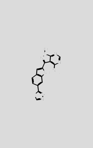 CC(C)n1nc(-c2cc3ccc(-c4nncs4)cc3[nH]2)c2c(N)ncnc21